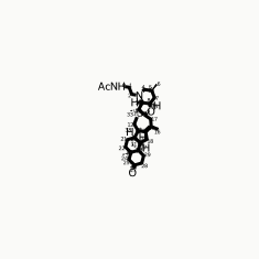 CC(=O)NCCN1C[C@@H](C)C[C@H]2O[C@]3(CC[C@@H]4C(=C(C)C3)C[C@H]3[C@H]4CC[C@]4(C)CC(=O)CC[C@]34C)[C@H](C)[C@@H]21